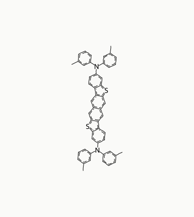 Cc1cccc(N(c2cccc(C)c2)c2ccc3c(c2)sc2cc4cc5c(cc4cc23)sc2cc(N(c3cccc(C)c3)c3cccc(C)c3)ccc25)c1